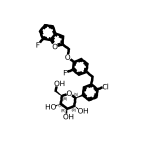 OC[C@H]1O[C@@H](c2ccc(Cl)c(Cc3ccc(OCc4cc5cccc(F)c5o4)c(F)c3)c2)[C@H](O)[C@@H](O)[C@@H]1O